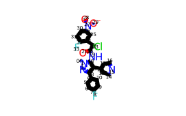 Cn1nc(-c2ccc(F)cc2)c(-c2ccncc2)c1NC(=O)C(Cl)c1cc([N+](=O)[O-])ccc1F